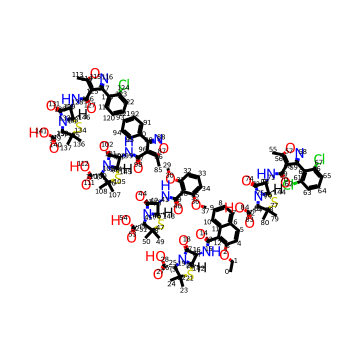 CCOc1ccc2ccccc2c1C(=O)N[C@@H]1C(=O)N2[C@@H]1SC(C)(C)[C@@H]2C(=O)O.COc1cccc(OC)c1C(=O)N[C@@H]1C(=O)N2[C@@H]1SC(C)(C)[C@@H]2C(=O)O.Cc1onc(-c2c(Cl)cccc2Cl)c1C(=O)N[C@@H]1C(=O)N2[C@@H]1SC(C)(C)[C@@H]2C(=O)O.Cc1onc(-c2ccccc2)c1C(=O)N[C@@H]1C(=O)N2[C@@H]1SC(C)(C)[C@@H]2C(=O)O.Cc1onc(-c2ccccc2Cl)c1C(=O)N[C@@H]1C(=O)N2[C@@H]1SC(C)(C)[C@@H]2C(=O)O